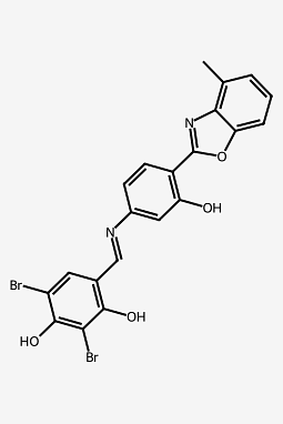 Cc1cccc2oc(-c3ccc(/N=C/c4cc(Br)c(O)c(Br)c4O)cc3O)nc12